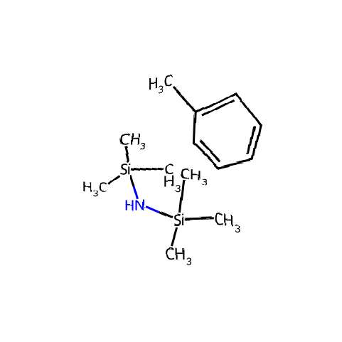 C[Si](C)(C)N[Si](C)(C)C.Cc1ccccc1